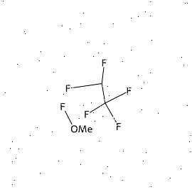 COF.FC(F)C(F)(F)F